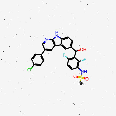 CCCS(=O)(=O)Nc1ccc(F)c(C(O)c2ccc3[nH]c4ncc(-c5ccc(Cl)cc5)cc4c3c2)c1F